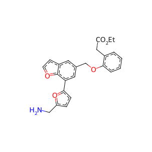 CCOC(=O)Cc1ccccc1OCc1cc(-c2ccc(CN)o2)c2occc2c1